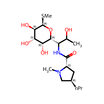 CCC[C@@H]1C[C@@H](C(=O)NC(C(C)O)[C@H]2O[C@H](SC)[C@H](O)[C@@H](O)[C@H]2O)N(C)C1